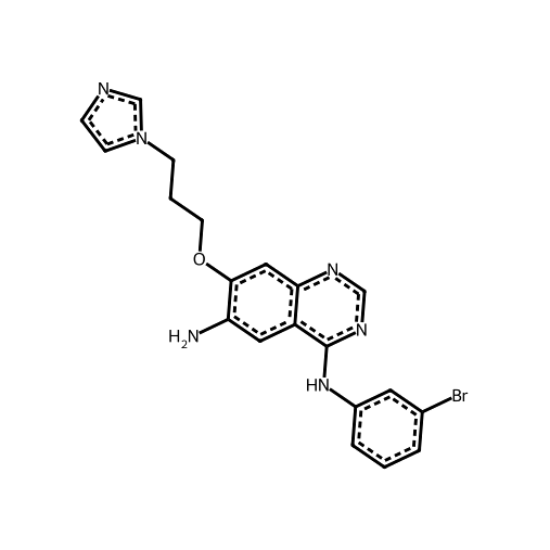 Nc1cc2c(Nc3cccc(Br)c3)ncnc2cc1OCCCn1ccnc1